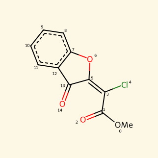 COC(=O)C(Cl)=C1Oc2ccccc2C1=O